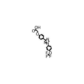 O=C(O)COc1ccc(-c2ncn(-c3ccc(OC(F)(F)F)cc3)n2)cc1